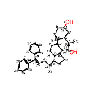 CC[C@@H]1C2C[C@H](O)CC[C@]2(C)C2CC[C@@]3(C)C(CCC3[C@H](C)CC=C(c3ccccc3)c3ccccc3)C2[C@@H]1O